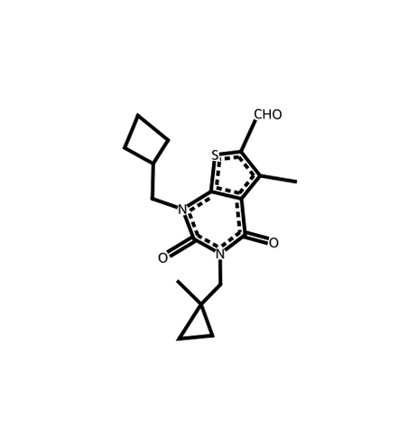 Cc1c(C=O)sc2c1c(=O)n(CC1(C)CC1)c(=O)n2CC1CCC1